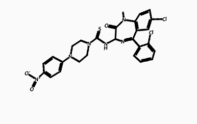 CN1C(=O)C(NC(=S)N2CCN(c3ccc([N+](=O)[O-])cc3)CC2)N=C(c2ccccc2Cl)c2cc(Cl)ccc21